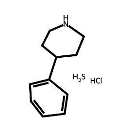 Cl.S.c1ccc(C2CCNCC2)cc1